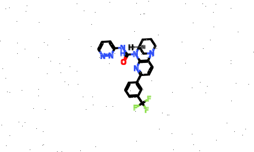 O=C(Nc1cccnn1)N1c2nc(-c3cccc(C(F)(F)F)c3)ccc2N2CCC[C@H]1C2